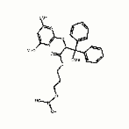 COc1cc(OC)nc(O[C@H](C(=O)OCCCON(O)O)C(OC)(c2ccccc2)c2ccccc2)n1